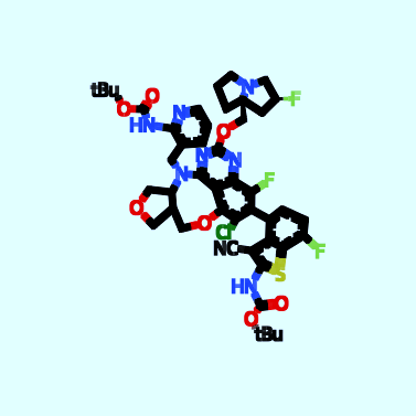 CC(C)(C)OC(=O)Nc1ncccc1CN1c2nc(OC[C@@]34CCCN3C[C@H](F)C4)nc3c(F)c(-c4ccc(F)c5sc(NC(=O)OC(C)(C)C)c(C#N)c45)c(Cl)c(c23)OCC2COCC21